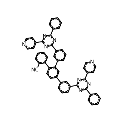 N#Cc1ccccc1-c1ccc(-c2cccc(-c3nc(-c4ccccc4)nc(-c4ccncc4)n3)c2)cc1-c1cccc(-c2nc(-c3ccccc3)nc(-c3ccncc3)n2)c1